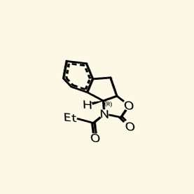 CCC(=O)N1C(=O)OC2Cc3ccccc3[C@H]21